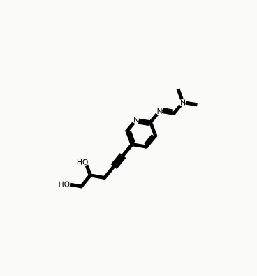 CN(C)C=Nc1ccc(C#CCC(O)CO)cn1